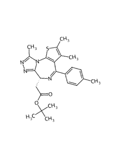 Cc1ccc(C2=N[C@H](CC(=O)OC(C)(C)C)c3nnc(C)n3-c3sc(C)c(C)c32)cc1